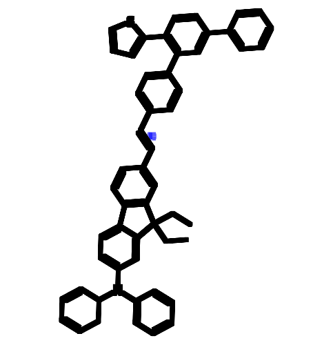 CCC1(CC)c2cc(/C=C/c3ccc(-c4cc(-c5ccccc5)ccc4-c4cccs4)cc3)ccc2-c2ccc(N(c3ccccc3)C3C=CC=CC3)cc21